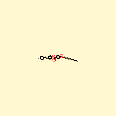 CCCCCCCCCCCOc1ccc(C(=O)Oc2ccc(CCC3CC[CH]CC3)cc2)cc1